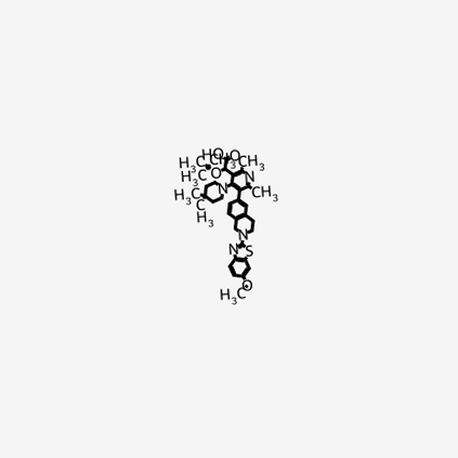 COc1ccc2nc(N3CCc4cc(-c5c(C)nc(C)c(C(OC(C)(C)C)C(=O)O)c5N5CCC(C)(C)CC5)ccc4C3)sc2c1